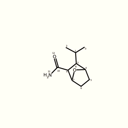 CC(C)C1C2CCC(O2)C1C(N)=O